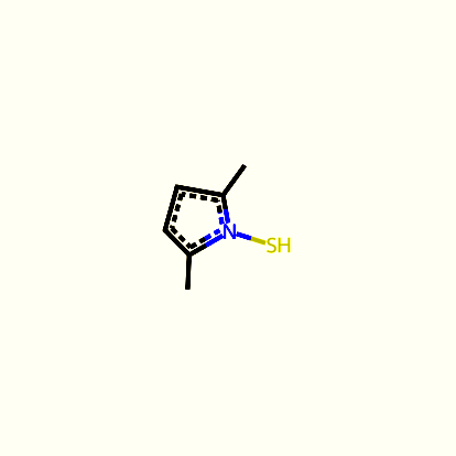 Cc1ccc(C)n1S